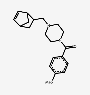 CSc1ccc(C(=O)N2CCN(CC3CC4C=CC3C4)CC2)cc1